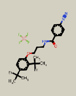 CCC(C)(C)c1ccc(OCCCNC(=O)c2ccc([N+]#N)cc2)c(C(C)(C)CC)c1.F[B-](F)(F)F